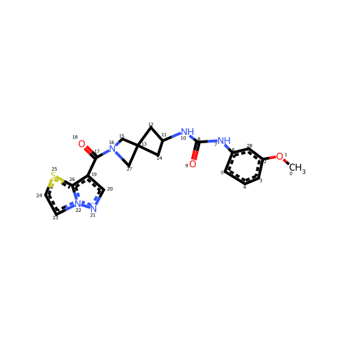 COc1cccc(NC(=O)NC2CC3(C2)CN(C(=O)c2cnn4ccsc24)C3)c1